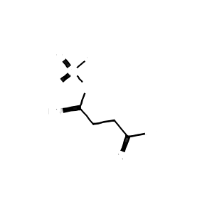 CCCCC(=N)CCC(=N)OS(=O)(=O)C(F)(F)F